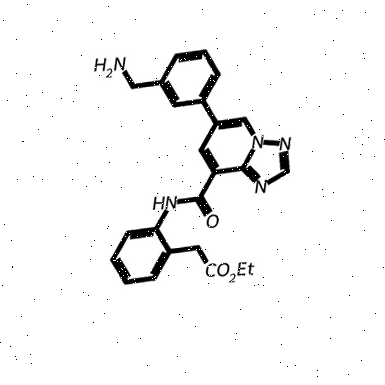 CCOC(=O)Cc1ccccc1NC(=O)c1cc(-c2cccc(CN)c2)cn2ncnc12